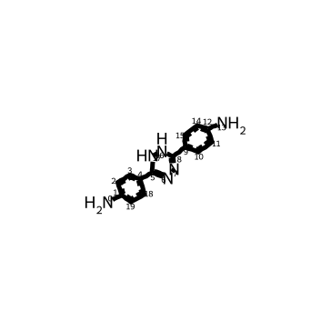 Nc1ccc(C2=NN=C(c3ccc(N)cc3)NN2)cc1